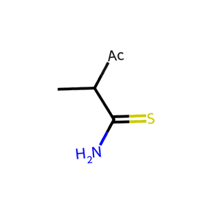 CC(=O)C(C)C(N)=S